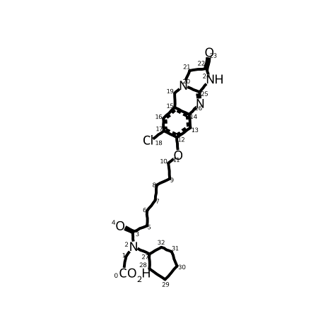 O=C(O)CN(C(=O)CCCCCCOc1cc2c(cc1Cl)CN1CC(=O)NC1=N2)C1CCCCC1